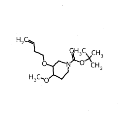 C=CCCOC1CN(C(=O)OC(C)(C)C)CCC1OC